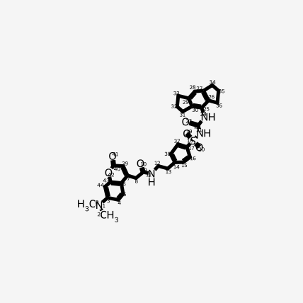 CN(C)c1ccc2c(CC(=O)NCCc3ccc(S(=O)(=O)NC(=O)Nc4c5c(cc6c4CCC6)CCC5)cc3)cc(=O)oc2c1